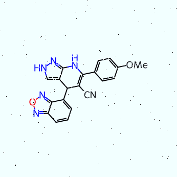 COc1ccc(C2=C(C#N)C(c3cccc4nonc34)c3c[nH]nc3N2)cc1